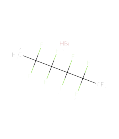 Br.FC(F)(F)C(F)(F)C(F)(F)C(F)(F)C(F)(F)C(F)(F)F